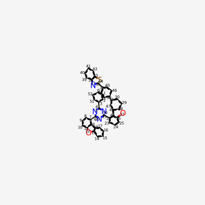 c1ccc(-c2nc(-c3cccc4oc5ccccc5c34)nc(-c3cccc4oc5ccc(-c6ccc(-c7nc8ccccc8s7)cc6)cc5c34)n2)cc1